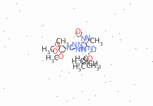 COc1cc(-n2cnc(Nc3nc(N4CCC[C@H]4CO[Si](C)(C)C(C)(C)C)c4c(C)nn(C5CCOC5)c4n3)c2)cc(OC)c1OC